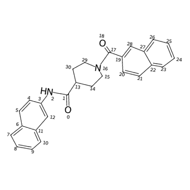 O=C(Nc1ccc2ccccc2c1)C1CCN(C(=O)c2ccc3ccccc3c2)CC1